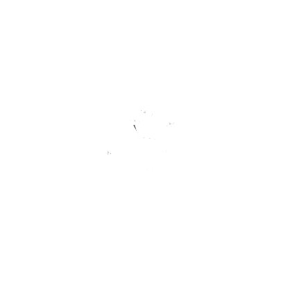 C[C@@H]1C[C@H](N(C)C)[C@@H](O)[C@H](O)O1.N